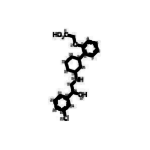 O=C(O)COc1ccccc1C1CCCC(NCC(O)c2cccc(Cl)c2)C1